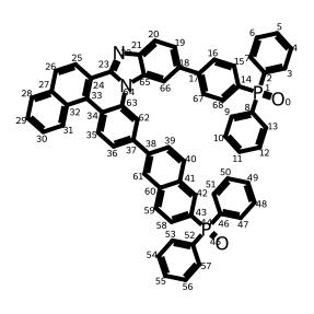 O=P(c1ccccc1)(c1ccccc1)c1ccc(-c2ccc3nc4c5ccc6ccccc6c5c5ccc(-c6ccc7cc(P(=O)(c8ccccc8)c8ccccc8)ccc7c6)cc5n4c3c2)cc1